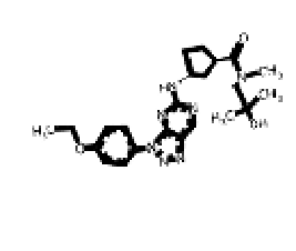 CCOc1ccc(-n2nnc3cnc(N[C@@H]4CC[C@@H](C(=O)N(C)CC(C)(C)O)C4)nc32)cc1